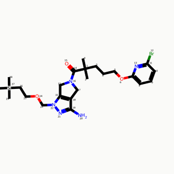 CC(C)(CCCOc1cccc(Br)n1)C(=O)N1Cc2c(N)nn(COCC[Si](C)(C)C)c2C1